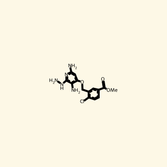 COC(=O)c1ccc(Cl)c(COc2cc(N)nc(NN)c2N)c1